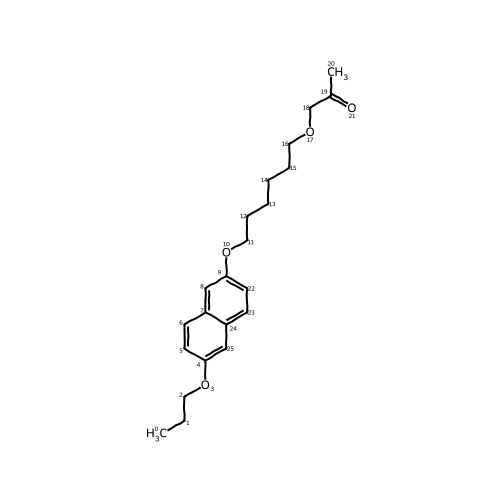 CCCOc1ccc2cc(OCCCCCCOCC(C)=O)ccc2c1